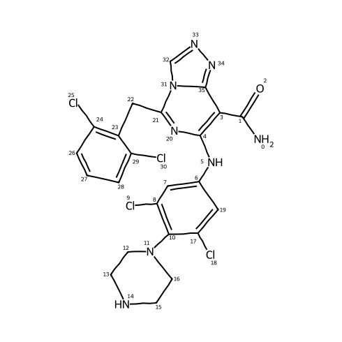 NC(=O)c1c(Nc2cc(Cl)c(N3CCNCC3)c(Cl)c2)nc(Cc2c(Cl)cccc2Cl)n2cnnc12